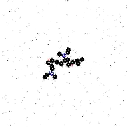 c1ccc(-c2nc(-c3ccc4ccccc4c3)nc(-c3ccc4ccc(-c5cccc6oc7ccc(-c8ccc(-c9cccc(-c%10cc(-c%11nc(-c%12ccccc%12)nc(-c%12ccc%13ccccc%13c%12)n%11)c%11cccc(-c%12cccc%13oc%14cc(-c%15ccc(-c%16ccccc%16)c%16ccccc%15%16)ccc%14c%12%13)c%11c%10)c9)cc8)cc7c56)cc4c3)n2)cc1